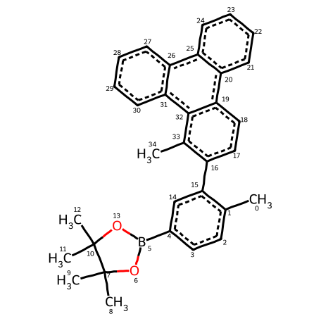 Cc1ccc(B2OC(C)(C)C(C)(C)O2)cc1-c1ccc2c3ccccc3c3ccccc3c2c1C